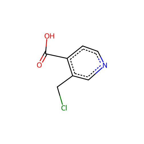 O=C(O)c1ccncc1CCl